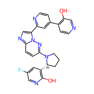 Oc1cnccc1-c1ccnc(-c2cnc3ccc(N4CCC[C@@H]4c4cc(F)cnc4O)nn23)c1